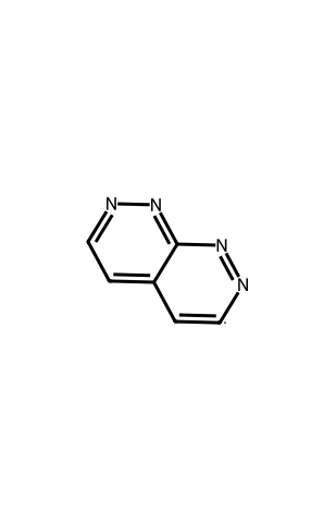 [c]1cc2ccnnc2nn1